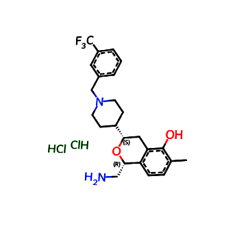 Cc1ccc2c(c1O)C[C@@H](C1CCN(Cc3cccc(C(F)(F)F)c3)CC1)O[C@H]2CN.Cl.Cl